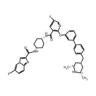 C[C@@H]1CN(Cc2ccc(-c3cccc(Oc4ncc(F)cc4C(=O)N[C@H]4CC[C@@H](NC(=O)c5cn6cc(F)ccc6n5)CC4)c3)cc2)C[C@H](C)N1